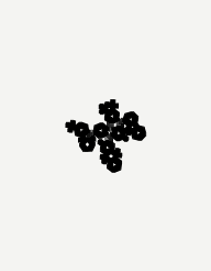 Cc1cc2c(cc1N1c3cc(N4c5ccc(C(C)(C)C)cc5C5(C)CCCCC45C)ccc3B3c4cc5c(cc4N4c6cccc7c6C(C)(c6ccccc6-7)c6c(C)cc1c3c64)C(C)(C)CC5(C)C)C(C)(C)c1ccccc1C2(C)C